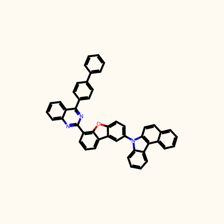 c1ccc(-c2ccc(-c3nc(-c4cccc5c4oc4ccc(-n6c7ccccc7c7c8ccccc8ccc76)cc45)nc4ccccc34)cc2)cc1